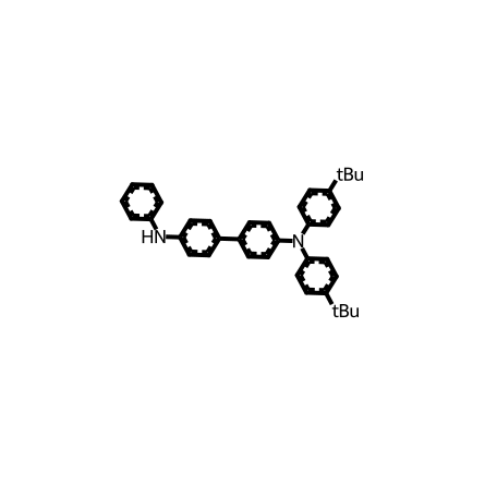 CC(C)(C)c1ccc(N(c2ccc(-c3ccc(Nc4ccccc4)cc3)cc2)c2ccc(C(C)(C)C)cc2)cc1